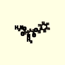 NOC(=O)C(N)CC(=O)OCc1ccccc1